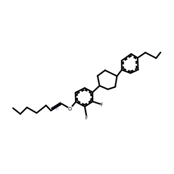 CCCCC/C=C/Oc1ccc(C2CCC(c3ccc(CCC)cc3)CC2)c(F)c1F